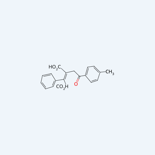 Cc1ccc(C(=O)CC(C(=O)O)=C(C(=O)O)c2ccccc2)cc1